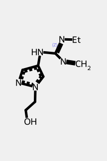 C=N/C(=N\CC)Nc1cnn(CCO)c1